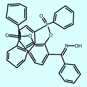 O=P(Oc1cccc(C(=NO)c2ccccc2)c1OP(=O)(c1ccccc1)c1ccccc1)(c1ccccc1)c1ccccc1